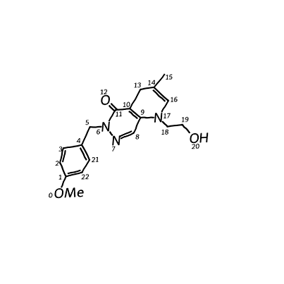 COc1ccc(Cn2ncc3c(c2=O)CC(C)=CN3CCO)cc1